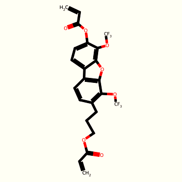 C=CC(=O)OCCCc1ccc2c(oc3c(OC(F)(F)F)c(OC(=O)C=C)ccc32)c1OC(F)(F)F